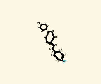 C[C@H]1CC[C@H](C2CC=C(CCc3ccc(F)cc3)CC2)CC1